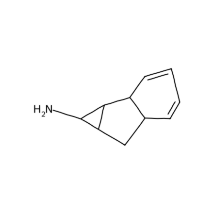 NC1C2CC3C=CC=CC3C12